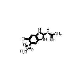 N=C(N)NC1Nc2cc(Cl)c(S(N)(=O)=O)cc2N1